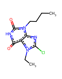 CCCCn1c(=O)[nH]c(=O)c2c1nc(Cl)n2CC